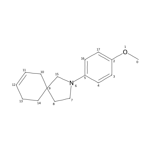 COc1ccc(N2CCC3(CC=CCC3)C2)cc1